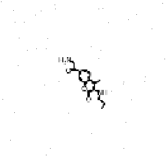 CCCNc1c(C)c2ccc(C(=O)CN)cc2oc1=O